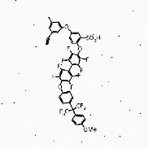 C#Cc1cc(C)cc(Oc2ccc(Oc3c(F)c(F)c(-c4c(F)c(F)c(Oc5ccc(C(c6ccc(OC)cc6)(C(F)(F)F)C(F)(F)F)cc5)c(F)c4F)c(F)c3F)c(S(=O)(=O)O)c2)c1